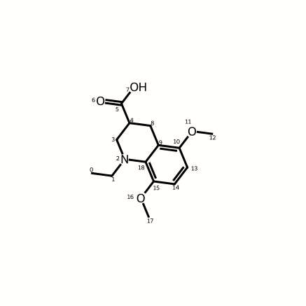 CCN1CC(C(=O)O)Cc2c(OC)ccc(OC)c21